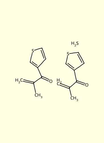 C=C(C)C(=O)c1ccsc1.C=C(C)C(=O)c1ccsc1.S